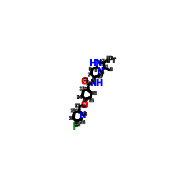 CC1=C(C(C)C)NC2C=CC(NC(=O)c3ccc(OCc4ccc(F)cn4)cc3)=CN12